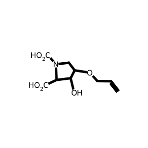 C=CCOC1CN(C(=O)O)C(C(=O)O)C1O